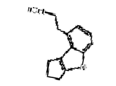 CCCCCCCCCCc1cccc2c1C1=C(CCC1)[N]2